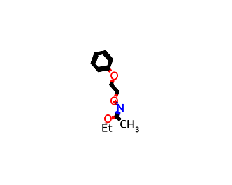 CCO/C(C)=N\OCCOc1ccccc1